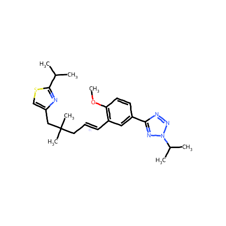 COc1ccc(-c2nnn(C(C)C)n2)cc1/C=C/CC(C)(C)Cc1csc(C(C)C)n1